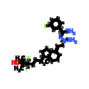 CC12CCC/C(=C\CN(N)/N=C(\N)c3cccc(F)c3)C1CCC2CCCC(F)(F)C(C)(C)O